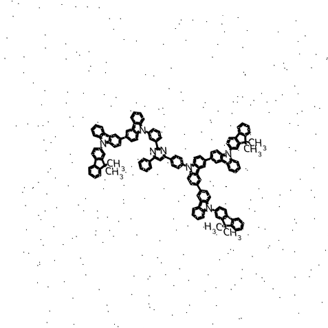 CC1(C)c2ccccc2-c2ccc(-n3c4ccccc4c4cc(-c5ccc6c(c5)c5ccccc5n6-c5cccc(-c6nc(-c7ccccc7)cc(-c7ccc(-n8c9ccc(-c%10ccc%11c(c%10)c%10ccccc%10n%11-c%10ccc%11c(c%10)C(C)(C)c%10ccccc%10-%11)cc9c9cc(-c%10ccc%11c(c%10)c%10ccccc%10n%11-c%10ccc%11c(c%10)C(C)(C)c%10ccccc%10-%11)ccc98)cc7)n6)c5)ccc43)cc21